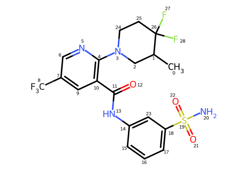 CC1CN(c2ncc(C(F)(F)F)cc2C(=O)Nc2cccc(S(N)(=O)=O)c2)CCC1(F)F